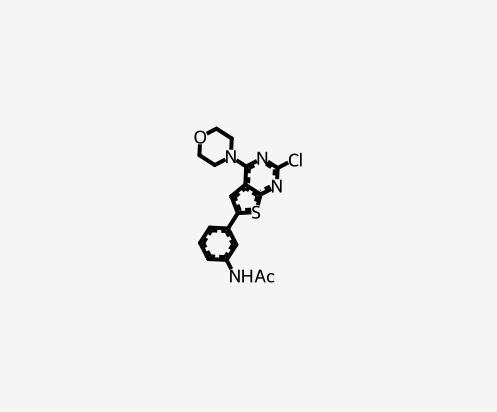 CC(=O)Nc1cccc(-c2cc3c(N4CCOCC4)nc(Cl)nc3s2)c1